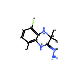 Cc1ccc(F)c2c1NC(=NN)C(C)(C)N2